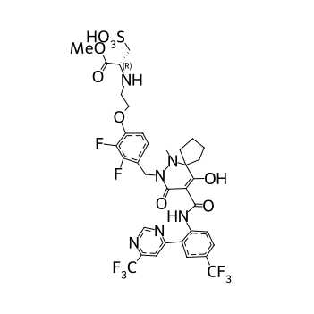 COC(=O)[C@H](CS(=O)(=O)O)NCCOc1ccc(CN2C(=O)C(C(=O)Nc3ccc(C(F)(F)F)cc3-c3cc(C(F)(F)F)ncn3)=C(O)C3(CCCC3)N2C)c(F)c1F